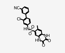 Cc1cc2[nH]c(=O)c(=O)[nH]c2cc1S(=O)(=O)Nc1ccc(-c2cccc(C#N)c2)c(Cl)c1